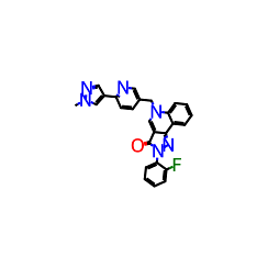 Cn1cc(-c2ccc(Cn3cc4c(=O)n(-c5ccccc5F)nc-4c4ccccc43)cn2)cn1